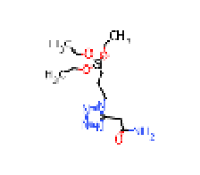 CCO[Si](CCCn1nnnc1CC(N)=O)(OCC)OCC